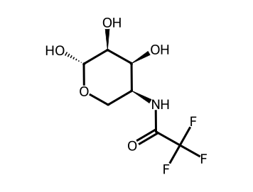 O=C(N[C@H]1CO[C@H](O)[C@@H](O)[C@H]1O)C(F)(F)F